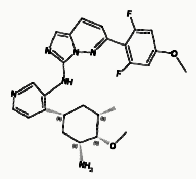 COc1cc(F)c(-c2ccc3cnc(Nc4cnccc4[C@H]4C[C@@H](N)[C@@H](OC)[C@@H](C)C4)n3n2)c(F)c1